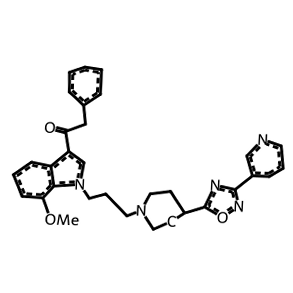 COc1cccc2c(C(=O)Cc3ccccc3)cn(CCCN3CCC(c4nc(-c5cccnc5)no4)CC3)c12